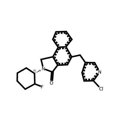 O=C1c2cc(Cc3ccc(Cl)nc3)c3ccccc3c2CN1[C@H]1CCCCC1F